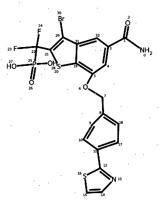 NC(=O)c1cc(OCc2ccc(-c3nccs3)cc2)c2sc(C(F)(F)P(=O)(O)O)c(Br)c2c1